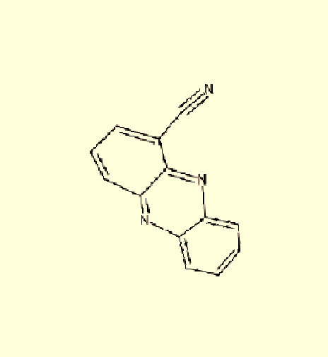 N#Cc1cccc2nc3ccccc3nc12